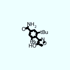 CC(C)(C)c1cc(C(N)=O)cc(C(C)(C)C)c1-c1nocc1O